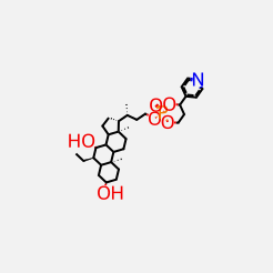 CC[C@@H]1C2C[C@H](O)CC[C@]2(C)C2CC[C@@]3(C)C(CC[C@@H]3[C@H](C)CCO[P@@]3(=O)OCCC(c4ccncc4)O3)C2[C@@H]1O